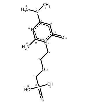 CN(C)c1cc(=O)n(CCOCP(=O)(O)O)c(N)n1